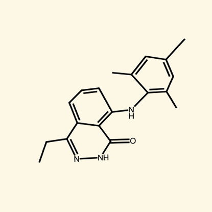 CCc1n[nH]c(=O)c2c(Nc3c(C)cc(C)cc3C)cccc12